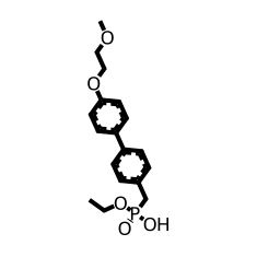 CCOP(=O)(O)Cc1ccc(-c2ccc(OCCOC)cc2)cc1